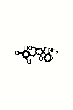 Nc1ncccc1[C@@](F)(CCCO)C(=O)NCc1ccc(Cl)cc1Cl